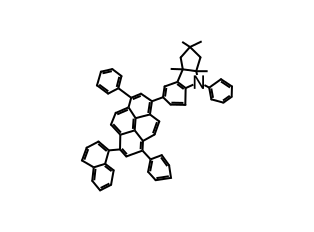 CC1(C)CC2(C)c3cc(-c4cc(-c5ccccc5)c5ccc6c(-c7cccc8ccccc78)cc(-c7ccccc7)c7ccc4c5c76)ccc3N(c3ccccc3)C2(C)C1